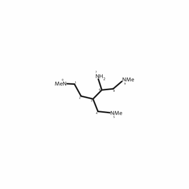 CNCCC(CNC)C(N)CNC